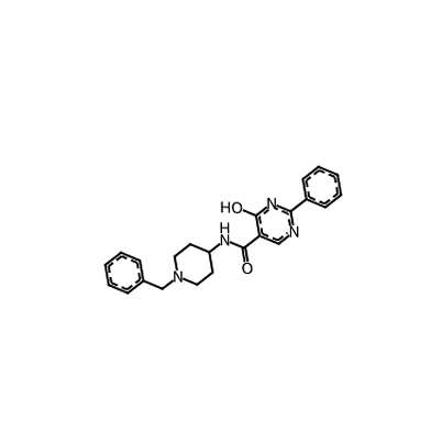 O=C(NC1CCN(Cc2ccccc2)CC1)c1cnc(-c2ccccc2)nc1O